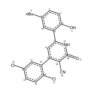 CCCCc1ccc(O)c(-c2cc(-c3cc(Cl)ccc3Cl)c(C#N)c(=O)[nH]2)c1